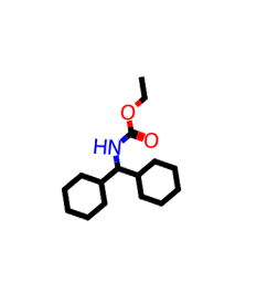 CCOC(=O)NC(C1CCCCC1)C1CCCCC1